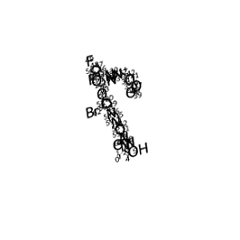 CC[C@@H]([C@H](C)O)n1ncn(-c2ccc(N3CCN(c4ccc(OC[C@@H]5CO[C@@](Cn6c[n+](Cc7ccc(OC(C)=O)cc7)cn6)(c6ccc(F)cc6F)C5)cc4)CC3)cc2)c1=O.[Br-]